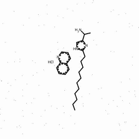 CCCCCCCCCCCc1nc(C(C)N)c[nH]1.Cl.c1ccc2ncccc2c1